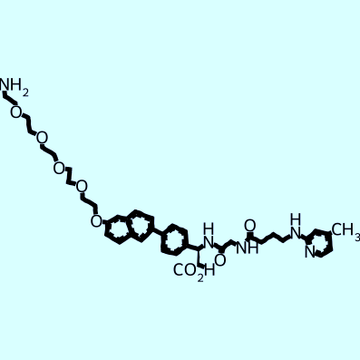 Cc1ccnc(NCCCC(=O)NCC(=O)N[C@@H](CC(=O)O)c2ccc(-c3ccc4cc(OCCOCCOCCOCCOCCN)ccc4c3)cc2)c1